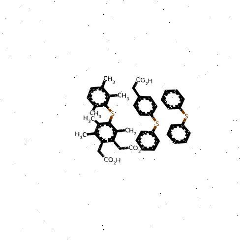 Cc1ccc(C)c(Sc2c(C)c(C)c(CC(=O)O)c(CC(=O)O)c2C)c1C.O=C(O)Cc1ccc(Sc2cc[c]cc2)cc1.[c]1ccc(Sc2cc[c]cc2)cc1